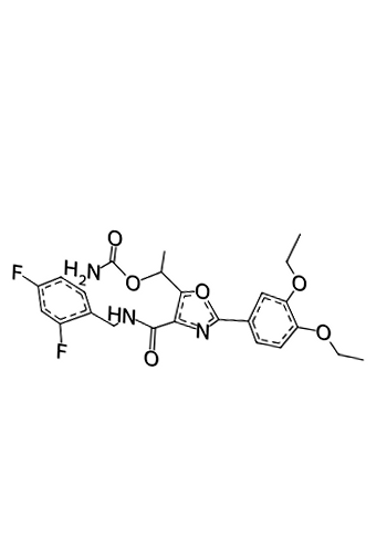 CCOc1ccc(-c2nc(C(=O)NCc3ccc(F)cc3F)c(C(C)OC(N)=O)o2)cc1OCC